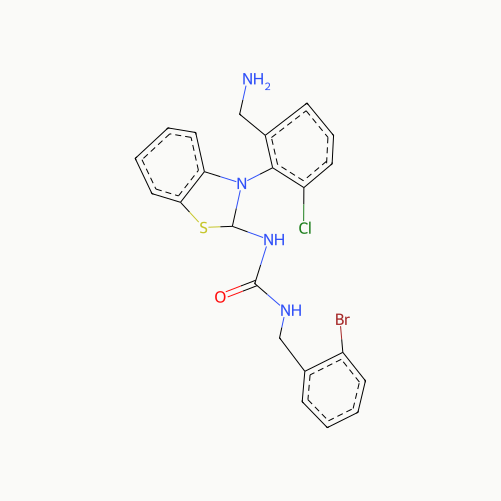 NCc1cccc(Cl)c1N1c2ccccc2SC1NC(=O)NCc1ccccc1Br